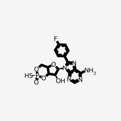 Nc1ncnc2c1nc(-c1ccc(F)cc1)n2[C@@H]1OC2CO[P@@](=O)(S)OC2[C@@H]1O